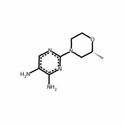 C[C@@H]1CN(c2ncc(N)c(N)n2)CCO1